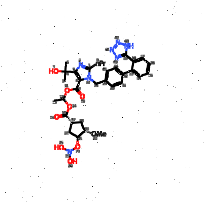 CCCc1nc(C(C)(C)O)c(C(=O)OC(C)OC(=O)[C@@H]2C[C@H](OC)[C@@H](ON(O)O)C2)n1Cc1ccc(-c2ccccc2-c2nnn[nH]2)cc1